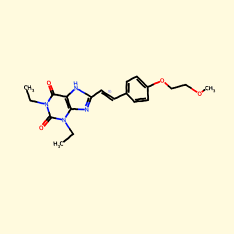 CCn1c(=O)c2[nH]c(/C=C/c3ccc(OCCOC)cc3)nc2n(CC)c1=O